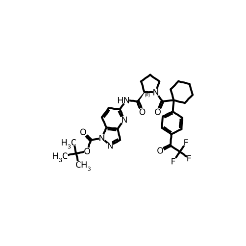 CC(C)(C)OC(=O)n1ncc2nc(NC(=O)[C@H]3CCCN3C(=O)C3(c4ccc(C(=O)C(F)(F)F)cc4)CCCCC3)ccc21